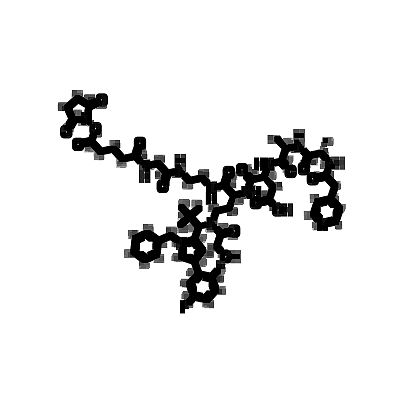 C[C@H](NC(=O)Cc1ccncc1)C(=O)N[C@H](C)C(=O)N[C@@H](CC(=O)O)C(=O)N[C@@H](CCN(C(=O)CO)[C@@H](c1cc(-c2cc(F)ccc2F)cn1Cc1ccccc1)C(C)(C)C)C(=O)NCCNC(=O)CNC(=O)CCCC(=O)ON1C(=O)CCC1=O